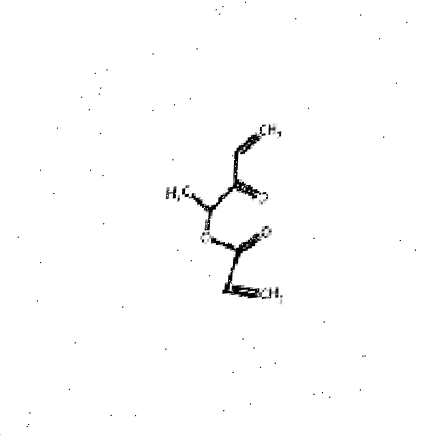 C=CC(=O)OC(C)C(=O)C=C